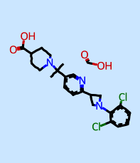 CC(C)(c1ccc(C2CN(c3c(Cl)cccc3Cl)C2)nc1)N1CCC(C(=O)O)CC1.O=CO